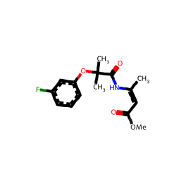 COC(=O)/C=C(/C)NC(=O)C(C)(C)Oc1cccc(F)c1